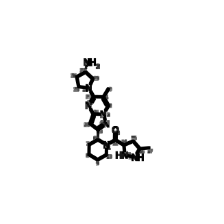 Cc1cn2nc([C@@H]3CCCCN3C(=O)C3CC(C)NN3)cc2nc1N1CC[C@H](N)C1